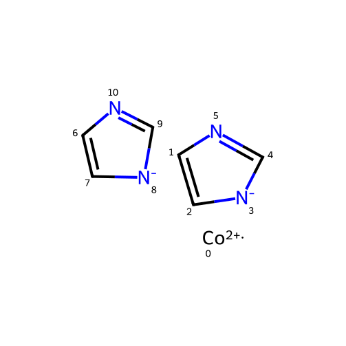 [Co+2].c1c[n-]cn1.c1c[n-]cn1